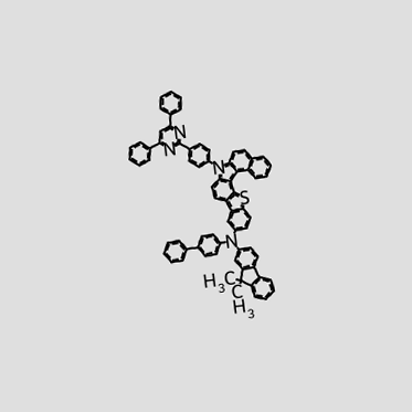 CC1(C)c2ccccc2-c2ccc(N(c3ccc(-c4ccccc4)cc3)c3ccc4sc5c(ccc6c5c5c7ccccc7ccc5n6-c5ccc(-c6nc(-c7ccccc7)cc(-c7ccccc7)n6)cc5)c4c3)cc21